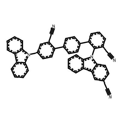 N#Cc1ccc2c(c1)c1ccccc1n2-c1c(C#N)cccc1-c1ccc(-c2ccc(-n3c4ccccc4c4ccccc43)cc2C#N)cc1